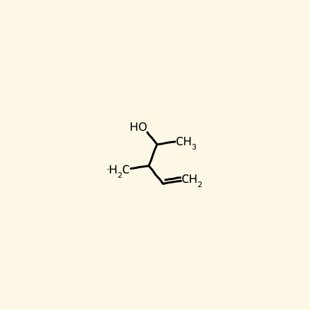 [CH2]C(C=C)C(C)O